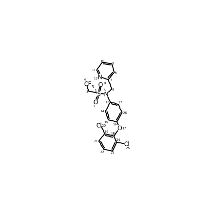 O=S(=O)(CC(F)(F)F)N(Cc1ccccn1)c1ccc(Oc2c(Cl)cccc2Cl)cc1